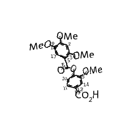 COc1cc(OC)c(C(=O)Oc2ccc(C(=O)O)cc2OC)cc1OC